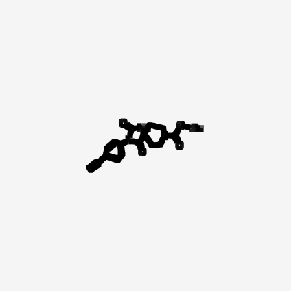 C#Cc1ccc(N2C(=O)NC3(CCN(C(=O)OC(C)(C)C)CC3)C2=O)cc1